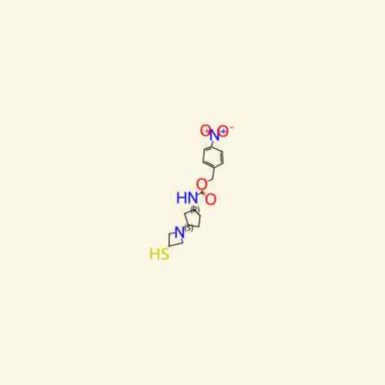 O=C(N[C@@H]1CC[C@H](N2CC(S)C2)C1)OCc1ccc([N+](=O)[O-])cc1